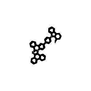 IC1CCCC2c3ccccc3N(c3ccc(-c4ccc5c(c4)c4ccccc4c4nc6c(n54)C4=C(CCC=C4)C4=CC=CCC46)cc3)C12